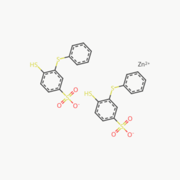 O=S(=O)([O-])c1ccc(S)c(Sc2ccccc2)c1.O=S(=O)([O-])c1ccc(S)c(Sc2ccccc2)c1.[Zn+2]